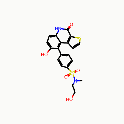 CN(CCO)S(=O)(=O)c1ccc(-c2c(O)ccc3[nH]c(=O)c4sccc4c23)cc1